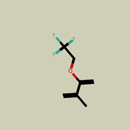 C=C(C)C(=C)OCC(F)(F)F